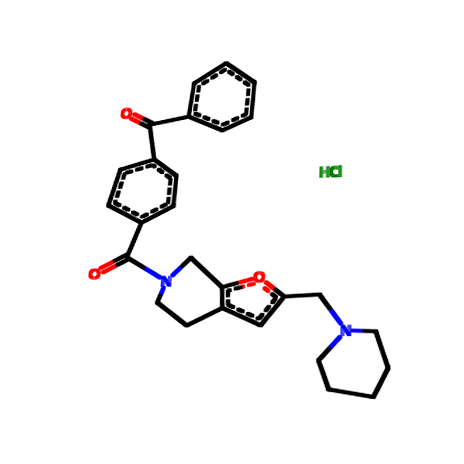 Cl.O=C(c1ccccc1)c1ccc(C(=O)N2CCc3cc(CN4CCCCC4)oc3C2)cc1